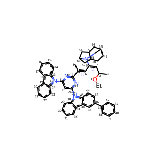 CCOC(C)/C=C(\C=C(/C)c1nc(-n2c3ccccc3c3ccccc32)cc(-n2c3ccccc3c3cc(-c4ccccc4)ccc32)n1)N1C2CCC3CC1CC3C2